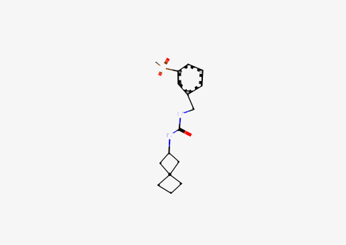 O=C(NCc1cccc(S(=O)(=O)C(F)(F)F)c1)NC1CC2(CCC2)C1